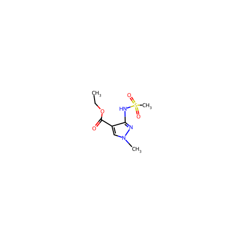 CCOC(=O)c1cn(C)nc1NS(C)(=O)=O